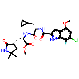 COC(=O)[C@H](C[C@@H]1CC(C)(C)NC1=O)NC(=O)[C@H](CC1CC1)NC(=O)c1cc2c(OC)cc(Cl)c(F)c2[nH]1